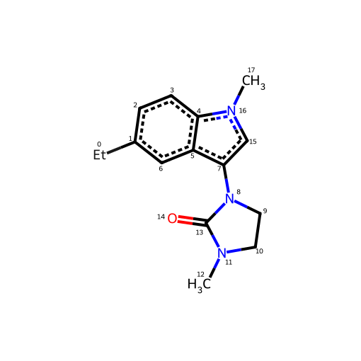 CCc1ccc2c(c1)c(N1CCN(C)C1=O)cn2C